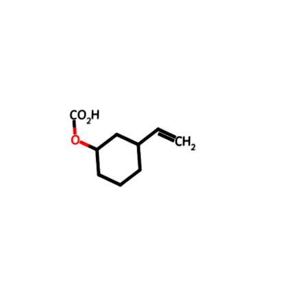 C=CC1CCCC(OC(=O)O)C1